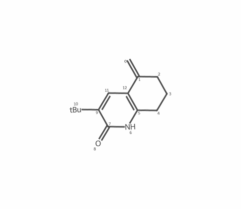 C=C1CCCc2[nH]c(=O)c(C(C)(C)C)cc21